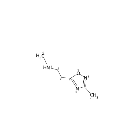 CNCCc1nc(C)no1